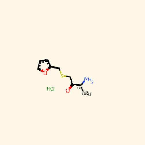 CCCC[C@H](N)C(=O)CSCc1ccco1.Cl